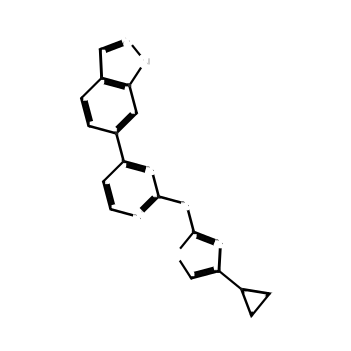 c1cc(-c2ccc3cn[nH]c3c2)nc(Nc2nc(C3CC3)cs2)n1